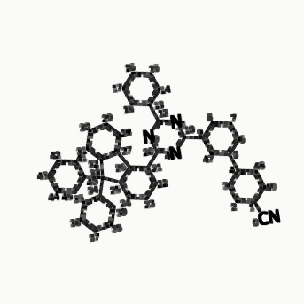 N#Cc1ccc(-c2cccc(-c3nc(-c4ccccc4)nc(-c4cccc5c4-c4ccccc4C5(c4ccccc4)c4ccccc4)n3)c2)cc1